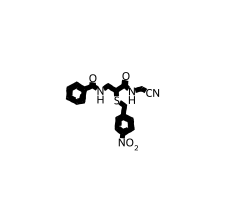 N#CCNC(=O)C(CNC(=O)c1ccccc1)SCc1ccc([N+](=O)[O-])cc1